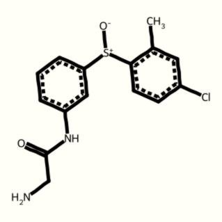 Cc1cc(Cl)ccc1[S+]([O-])c1cccc(NC(=O)CN)c1